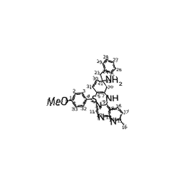 COc1ccc(SC2=C(Nc3ncnc4nc(C)ccc34)CC(N)(Cc3ccccc3)C=C2)cc1